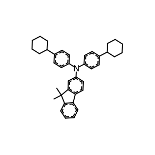 CC1(C)c2ccccc2-c2ccc(N(c3ccc(C4CCCCC4)cc3)c3ccc(C4CCCCC4)cc3)cc21